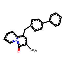 O=C(O)c1cc(Cc2ccc(-c3ccccc3)cc2)c2ccccn2c1=O